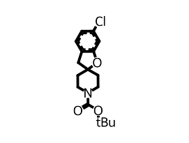 CC(C)(C)OC(=O)N1CCC2(CC1)Cc1ccc(Cl)cc1O2